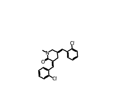 CN1C/C(=C/c2ccccc2Cl)C/C(=C/c2ccccc2Cl)C1=O